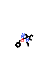 C=CCn1c(C)c(CC)c2cnnc(OCc3ccccc3)c21